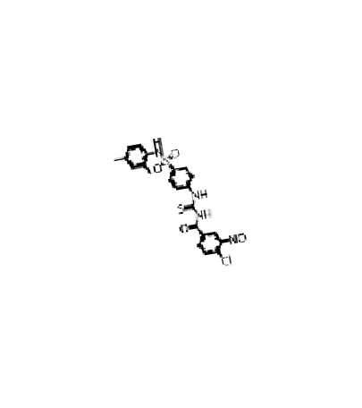 Cc1ccc(NS(=O)(=O)c2ccc(NC(=S)NC(=O)c3ccc(Cl)c(N=O)c3)cc2)c(C)c1